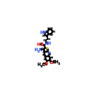 COc1cc2cc3c(N)c(C(O)NCCc4c[nH]c5ccccc45)sc3nc2cc1OC